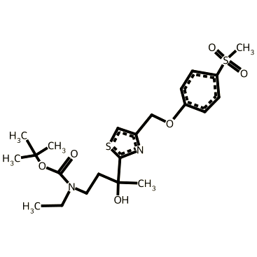 CCN(CCC(C)(O)c1nc(COc2ccc(S(C)(=O)=O)cc2)cs1)C(=O)OC(C)(C)C